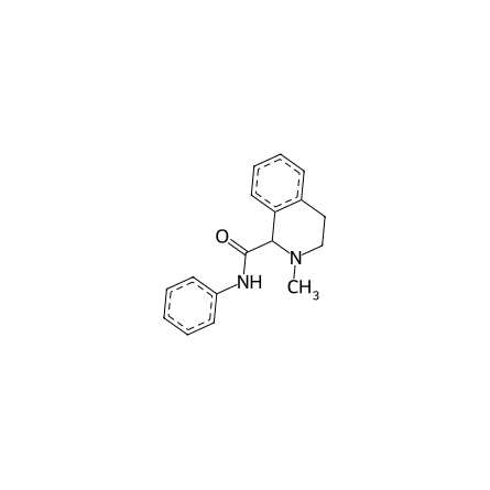 CN1CCc2ccccc2C1C(=O)Nc1ccccc1